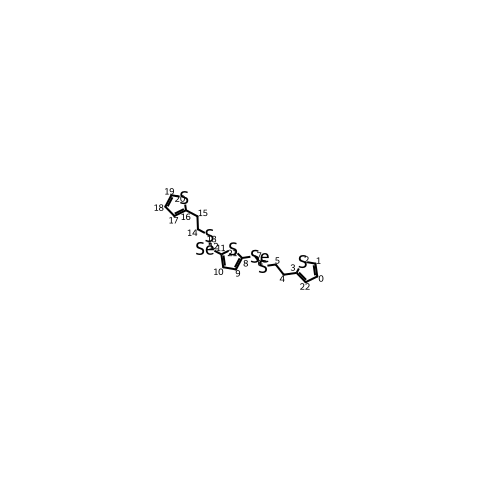 c1csc(CCS[Se]c2ccc([Se]SCCc3cccs3)s2)c1